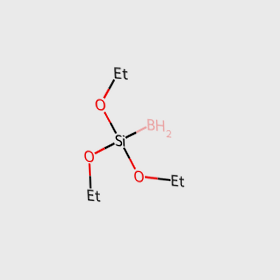 B[Si](OCC)(OCC)OCC